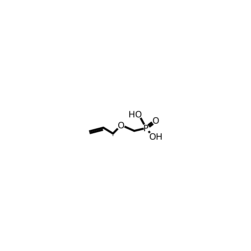 C=C[CH]OCP(=O)(O)O